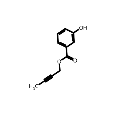 CC#CCOC(=O)c1cccc(O)c1